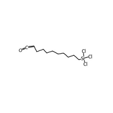 O=C=CCCCCCCCCC[Si](Cl)(Cl)Cl